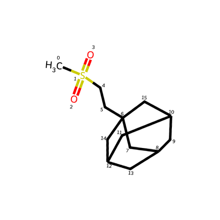 CS(=O)(=O)CCC12CC3CC(CC(C3)C1)C2